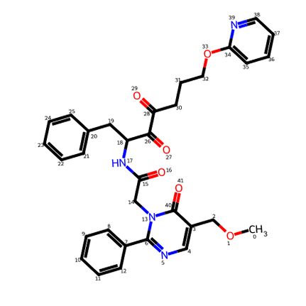 COCc1cnc(-c2ccccc2)n(CC(=O)NC(Cc2ccccc2)C(=O)C(=O)CCCOc2ccccn2)c1=O